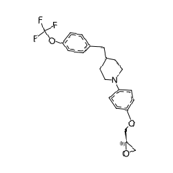 FC(F)(F)Oc1ccc(CC2CCN(c3ccc(OC[C@H]4CO4)cc3)CC2)cc1